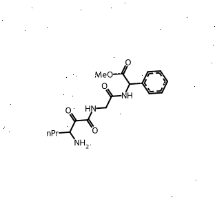 CCCC(N)C(=O)C(=O)NCC(=O)NC(C(=O)OC)c1ccccc1